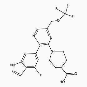 O=C(O)C1CCN(c2nc(COC(F)(F)F)cnc2-c2cc(F)c3cc[nH]c3c2)CC1